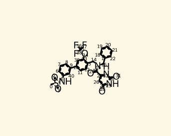 CS(=O)(=O)Nc1cccc(-c2ccc(CN(Cc3ccccc3)C(=O)c3cc(=O)[nH]c(=O)[nH]3)c(OC(F)(F)F)c2)c1